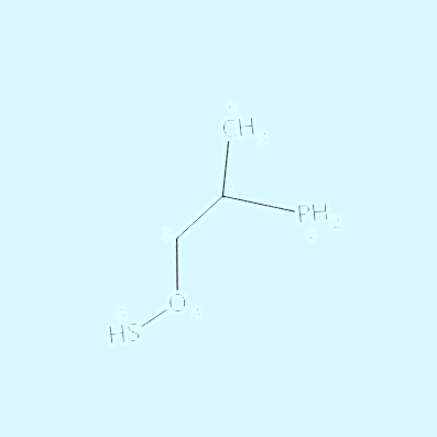 CC(P)COS